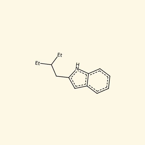 CCC(CC)Cc1cc2ccccc2[nH]1